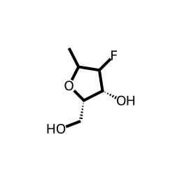 CC1O[C@@H](CO)[C@@H](O)C1F